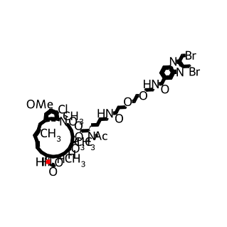 COc1cc2cc(c1Cl)N(C)C(=O)C[C@H](OC(=O)[C@H](CCCCNC(=O)CCOCCOCCNC(=O)c1ccc3nc(CBr)c(CBr)nc3c1)N(C)C(C)=O)[C@]1(C)O[C@H]1[C@H](C)[C@@H]1C[C@H](C/C=C/C=C(\C)C2)NC(=O)O1